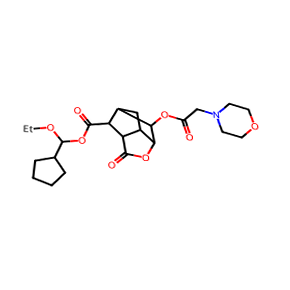 CCOC(OC(=O)C1C2CC3C(OC(=O)C31)C2OC(=O)CN1CCOCC1)C1CCCC1